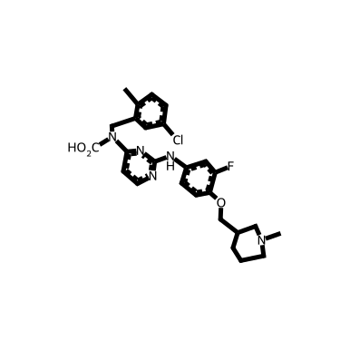 Cc1ccc(Cl)cc1CN(C(=O)O)c1ccnc(Nc2ccc(OCC3CCCN(C)C3)c(F)c2)n1